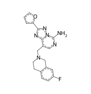 Nc1ncc(CN2CCc3ccc(F)cc3C2)c2nc(-c3ccco3)nn12